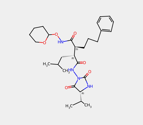 CC(C)C[C@@H](C(=O)NN1C(=O)N[C@H](C(C)C)C1=O)[C@H](CCCc1ccccc1)C(=O)NOC1CCCCO1